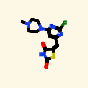 CN1CCN(c2cc(C=C3SC(=O)NC3=O)nc(Cl)n2)CC1